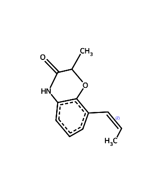 C/C=C\c1cccc2c1OC(C)C(=O)N2